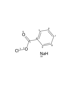 O=C(OCl)c1ccccc1.[NaH]